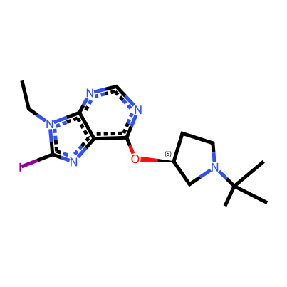 CCn1c(I)nc2c(O[C@H]3CCN(C(C)(C)C)C3)ncnc21